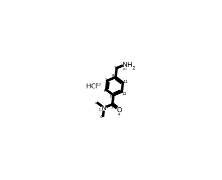 CN(C)C(=O)c1ccc(CN)cc1.Cl